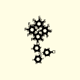 Clc1ccc([S+](c2ccccc2)c2ccccc2)cc1.Fc1c(F)c(F)[c]([Ga-]([c]2c(F)c(F)c(F)c(F)c2F)([c]2c(F)c(F)c(F)c(F)c2F)[c]2c(F)c(F)c(F)c(F)c2F)c(F)c1F